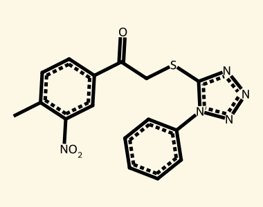 Cc1ccc(C(=O)CSc2nnnn2-c2ccccc2)cc1[N+](=O)[O-]